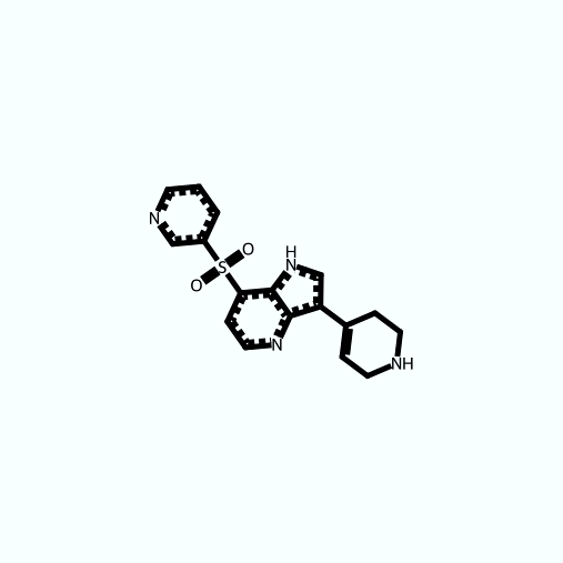 O=S(=O)(c1cccnc1)c1ccnc2c(C3=CCNCC3)c[nH]c12